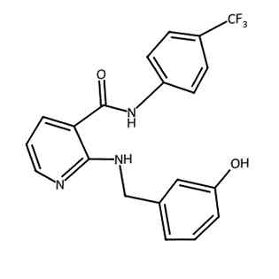 O=C(Nc1ccc(C(F)(F)F)cc1)c1cccnc1NCc1cccc(O)c1